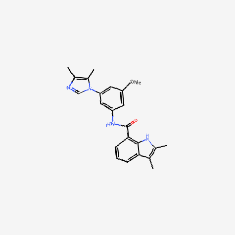 COc1cc(NC(=O)c2cccc3c(C)c(C)[nH]c23)cc(-n2cnc(C)c2C)c1